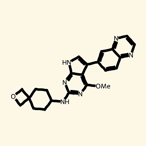 COc1nc(NC2CCC3(CC2)COC3)nc2[nH]cc(-c3ccc4nccnc4c3)c12